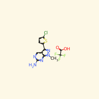 Cn1nc(-c2ccc(Cl)s2)c2cnc(N)nc21.O=C(O)C(F)(F)F